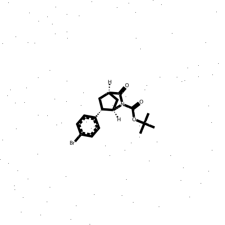 CC(C)(C)OC(=O)N1C(=O)[C@H]2C[C@@H]1[C@H](c1ccc(Br)cc1)C2